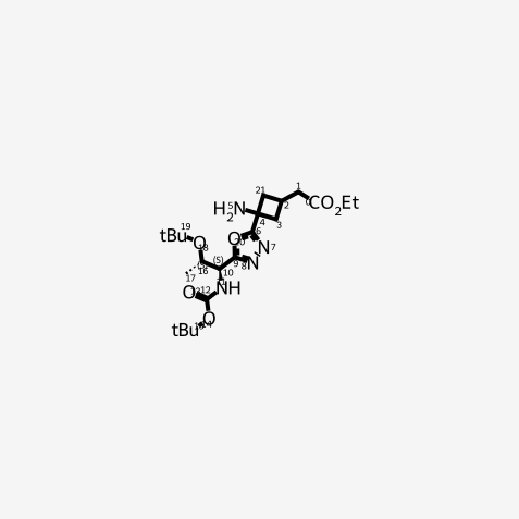 CCOC(=O)CC1CC(N)(c2nnc([C@@H](NC(=O)OC(C)(C)C)[C@H](C)OC(C)(C)C)o2)C1